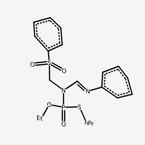 CCCSP(=O)(OCC)N(C=Nc1ccccc1)CS(=O)(=O)c1ccccc1